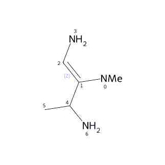 CN/C(=C\N)C(C)N